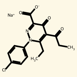 CCC(=O)c1c(CC)n(-c2ccc(Cl)cc2)nc(C(=O)[O-])c1=O.[Na+]